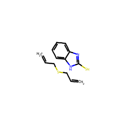 C=CCSCC=C.Sc1nc2ccccc2[nH]1